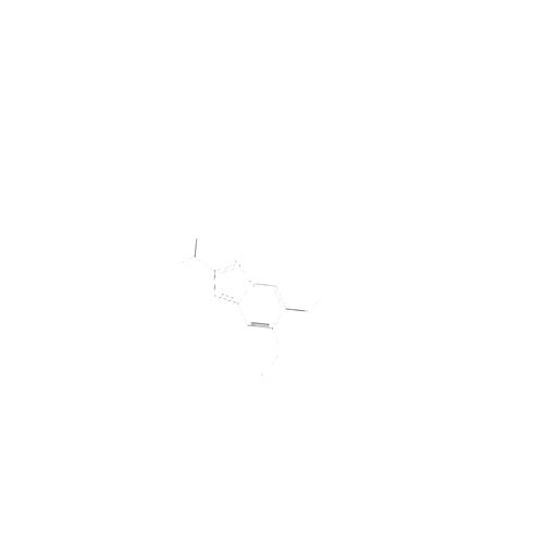 COc1cc2cc(C(C)O)nn2cc1OC